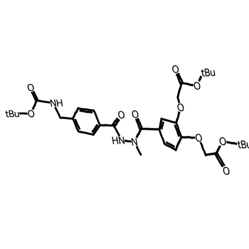 CN(NC(=O)c1ccc(CNC(=O)OC(C)(C)C)cc1)C(=O)c1ccc(OCC(=O)OC(C)(C)C)c(OCC(=O)OC(C)(C)C)c1